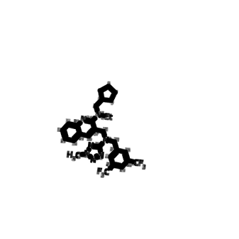 CCN(CC1CCCC1)c1nc2ccccc2cc1CN(Cc1cc(C(F)(F)F)cc(C(F)(F)F)c1)c1nnn(C)n1